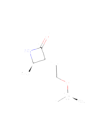 CC(=O)O[C@H]1NC(=O)[C@@H]1CCO[Si@H](C)C(C)(C)C